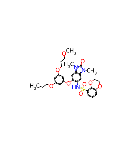 CCCOc1cc(OCCCOC)cc(Oc2cc3c(cc2NS(=O)(=O)c2cccc4c2OCCO4)n(C)c(=O)n3C)c1